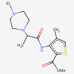 CCN1CCN(C(C)C(=O)Nc2c(C)csc2C(=O)OC)CC1